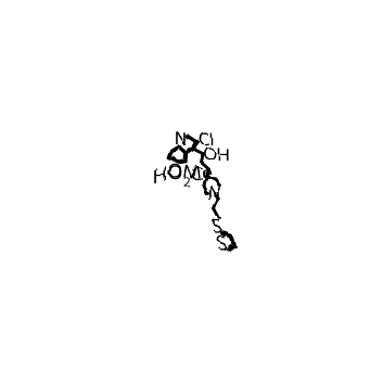 COc1ccc2ncc(Cl)c([C@H](O)CCC3(C(=O)O)CCN(CCCSc4cccs4)CC3)c2c1